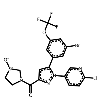 O=C(c1cc(-c2cc(Br)cc(OC(F)(F)F)c2)n(-c2ccc(Cl)nc2)n1)N1CC[S+]([O-])C1